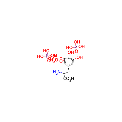 NC(Cc1ccc(O)c(O)c1)C(=O)O.O.O.O.O=P(O)(O)O.O=P(O)(O)O